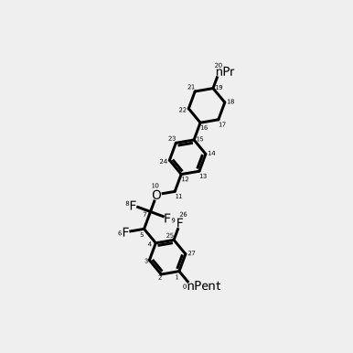 CCCCCc1ccc(C(F)C(F)(F)OCc2ccc(C3CCC(CCC)CC3)cc2)c(F)c1